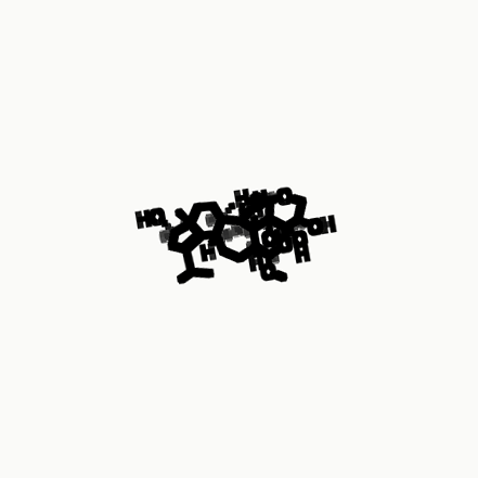 CO[C@H]1O[C@@]2(O)[C@H](O)CO[C@H]3O[C@H]4[C@@H]([C@@H]1CC[C@@H]1C5=C(C(C)C)C[C@H](O)[C@]5(C)CC[C@]14C)[C@]32O